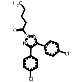 CCCCC(=O)n1nc(-c2ccc(Cl)cc2)c(-c2ccc(Cl)cc2)n1